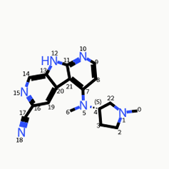 CN1CC[C@H](N(C)c2ccnc3[nH]c4cnc(C#N)cc4c23)C1